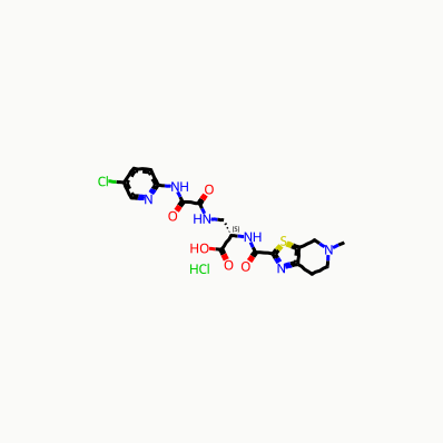 CN1CCc2nc(C(=O)N[C@@H](CNC(=O)C(=O)Nc3ccc(Cl)cn3)C(=O)O)sc2C1.Cl